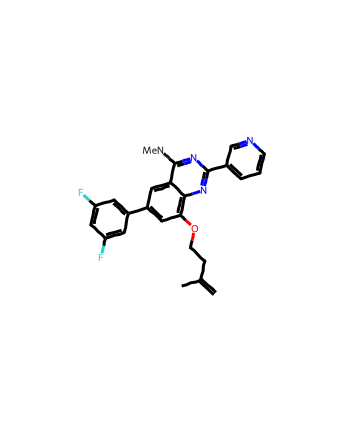 C=C(C)CCOc1cc(-c2cc(F)cc(F)c2)cc2c(NC)nc(-c3cccnc3)nc12